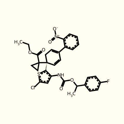 CCOC(=O)C1([C@]2(c3sc(Cl)cc3NC(=O)OC(C)c3ccc(F)cc3)C=CC(c3ccccc3[N+](=O)[O-])=CC2)CC1